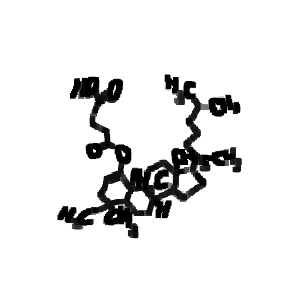 CC(C)CCC[C@@H](C)[C@H]1CC[C@@]2(C)[C@@H]3CC[C@H]4C(C)(C)CC=C(OC(=O)CCC(=O)O)[C@@]45C[C@@]35CC[C@]12C